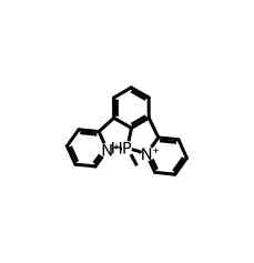 C[PH]12c3c(cccc3-c3cccc[n+]31)-c1cccc[n+]12